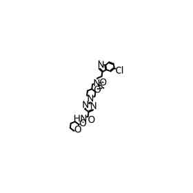 Cn1cc(CCN(CC2CCN(c3ncc(C(=O)NOC4CCCCO4)cn3)CC2)S(C)(=O)=O)c2cc(Cl)ccc21